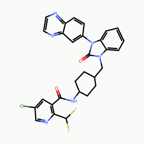 O=C(NC1CCC(Cn2c(=O)n(-c3ccc4nccnc4c3)c3ccccc32)CC1)c1cc(Cl)cnc1C(F)F